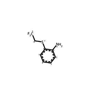 Nc1ccccc1SCC(F)(F)F